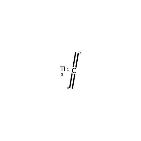 C=C=C.[Ti]